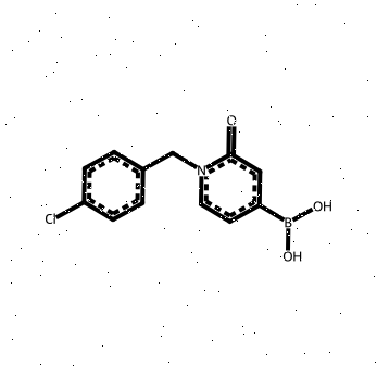 O=c1cc(B(O)O)ccn1Cc1ccc(Cl)cc1